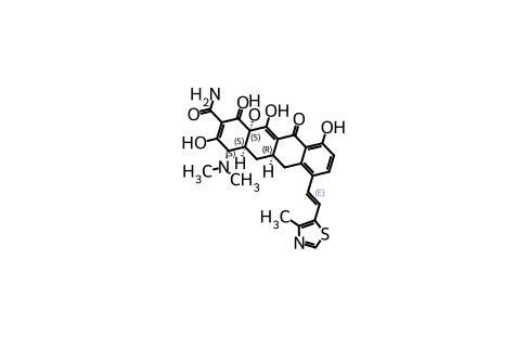 Cc1ncsc1/C=C/c1ccc(O)c2c1C[C@H]1C[C@H]3[C@H](N(C)C)C(O)=C(C(N)=O)C(=O)[C@@]3(O)C(O)=C1C2=O